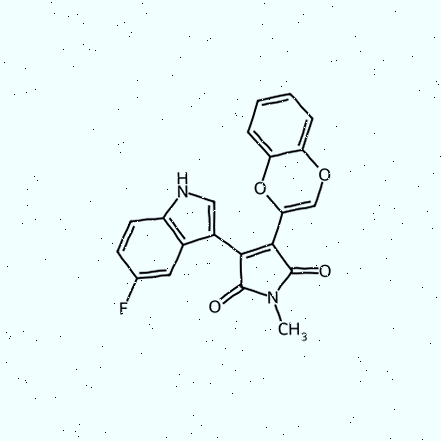 CN1C(=O)C(C2=COc3ccccc3O2)=C(c2c[nH]c3ccc(F)cc23)C1=O